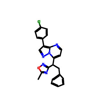 Cc1nc(C(Cc2ccccc2)c2ccnc3c(-c4ccc(Cl)cc4)cnn23)no1